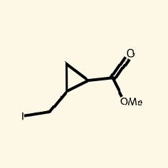 COC(=O)C1CC1CI